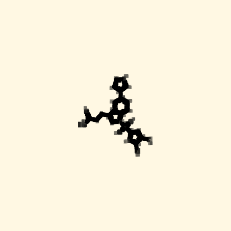 O=C(O)CCc1cn(S(=O)(=O)c2cc(Cl)c(Cl)s2)c2ccc(-c3ccsc3)cc12